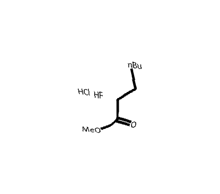 CCCCCCC(=O)OC.Cl.F